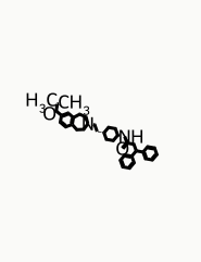 CC(C)C(=O)c1ccc2c(c1)CCN(CC[C@H]1CC[C@H](NC(=O)CC(c3ccccc3)c3ccccc3)CC1)CC2